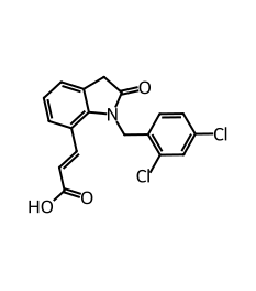 O=C(O)C=Cc1cccc2c1N(Cc1ccc(Cl)cc1Cl)C(=O)C2